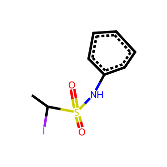 CC(I)S(=O)(=O)Nc1ccccc1